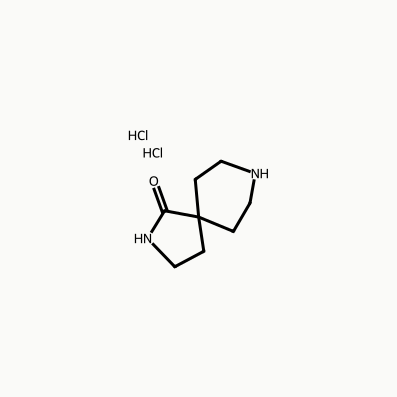 Cl.Cl.O=C1NCCC12CCNCC2